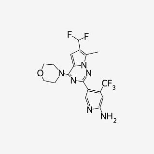 Cc1c(C(F)F)cc2c(N3CCOCC3)nc(-c3cnc(N)cc3C(F)(F)F)nn12